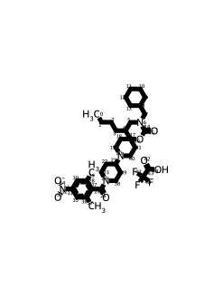 CCCCC1CN(CC2CCCCC2)C(=O)OC12CCN(C1CCN(C(=O)c3c(C)cc([N+](=O)[O-])cc3C)CC1)CC2.O=C(O)C(F)(F)F